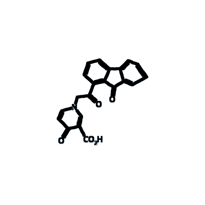 O=C(Cn1ccc(=O)c(C(=O)O)c1)c1cccc2c1C(=O)c1ccccc1-2